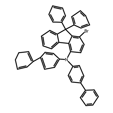 Brc1ccc(N(c2ccc(C3=CCCC=C3)cc2)c2ccc(-c3ccccc3)cc2)c2c1C(c1ccccc1)(c1ccccc1)c1ccccc1-2